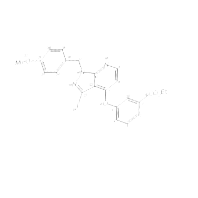 CCOC(=O)c1cccc(Oc2ccnc3c2c(I)nn3Cc2ccc(OC)cc2)c1